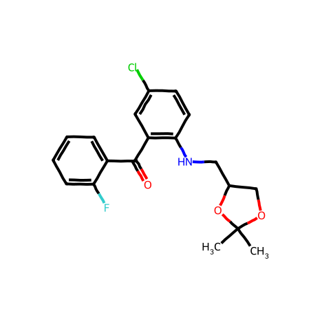 CC1(C)OCC(CNc2ccc(Cl)cc2C(=O)c2ccccc2F)O1